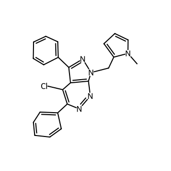 Cn1cccc1Cn1nc(-c2ccccc2)c2c(Cl)c(-c3ccccc3)nnc21